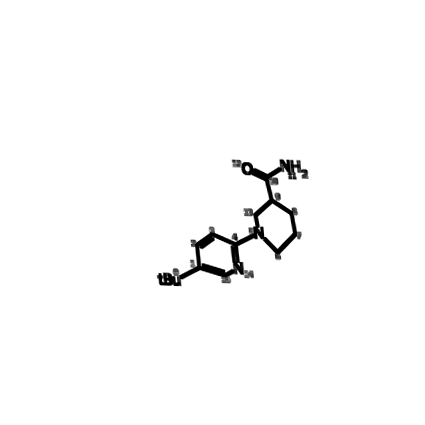 CC(C)(C)c1ccc(N2CCCC(C(N)=O)C2)nc1